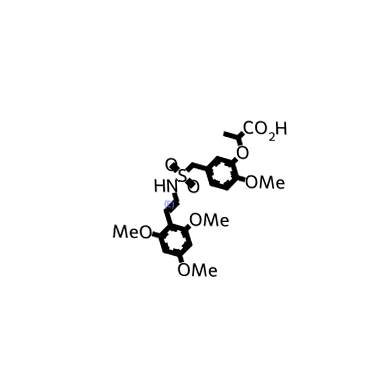 COc1cc(OC)c(/C=C/NS(=O)(=O)Cc2ccc(OC)c(OC(C)C(=O)O)c2)c(OC)c1